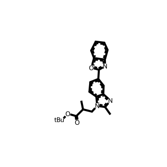 Cc1nc2cc(-c3nc4ccccc4o3)ccc2n1CC(C)C(=O)OC(C)(C)C